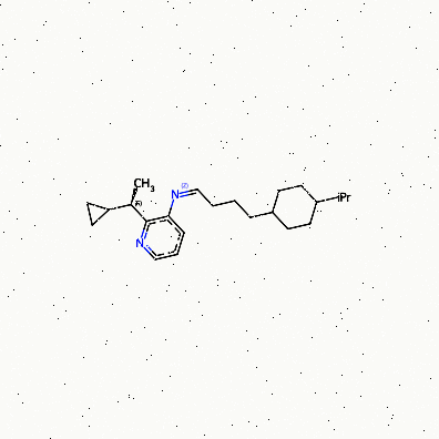 CC(C)C1CCC(CCC/C=N\c2cccnc2[C@H](C)C2CC2)CC1